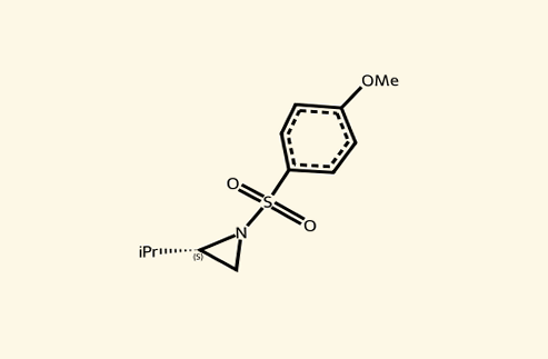 COc1ccc(S(=O)(=O)N2C[C@@H]2C(C)C)cc1